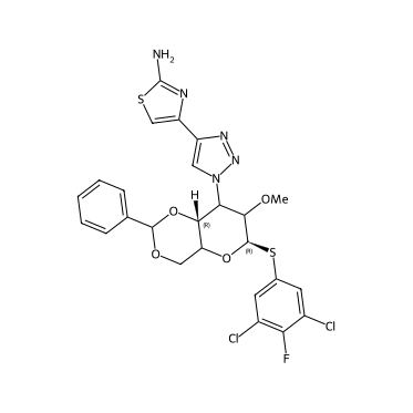 COC1C(n2cc(-c3csc(N)n3)nn2)[C@H]2OC(c3ccccc3)OCC2O[C@@H]1Sc1cc(Cl)c(F)c(Cl)c1